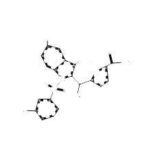 COC(=O)c1ccc(C(O)c2c(C)c3cc(C(F)(F)F)ccc3n2S(=O)(=O)c2cccc(C(C)(C)C)c2)s1